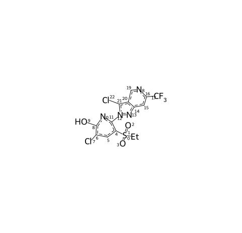 CCS(=O)(=O)c1cc(Cl)c(O)nc1-n1nc2cc(C(F)(F)F)ncc2c1Cl